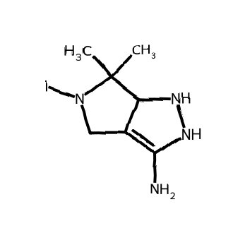 CC1(C)C2NNC(N)=C2CN1I